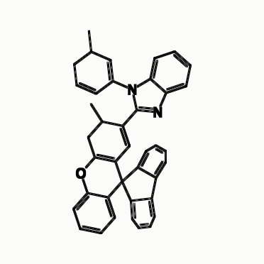 CC1C=C(n2c(C3=CC4=C(CC3C)Oc3ccccc3C43c4ccccc4-c4ccccc43)nc3ccccc32)C=CC1